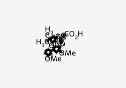 COc1cccc(-c2cc(OC)cc(N(C(=O)NCCC(=O)O)c3c(O)cc(C)n(C)c3=O)c2)c1